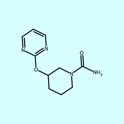 NC(=O)N1CCCC(Oc2ncccn2)C1